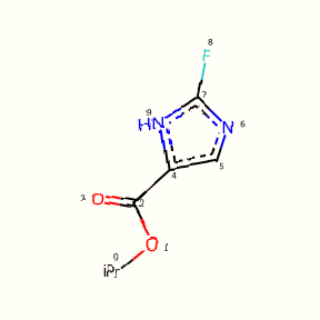 CC(C)OC(=O)c1cnc(F)[nH]1